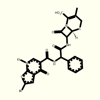 CCn1cc(C(=O)NC(C(=O)NC2C(=O)N3C(C(=O)O)=C(C)CS[C@@H]23)c2ccccc2)c(=O)c2cc(Br)sc21